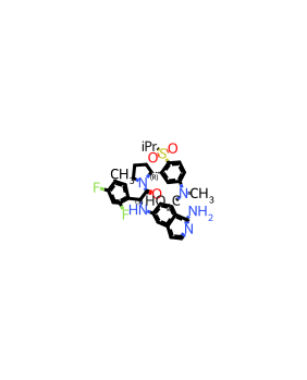 Cc1cc([C@H](Nc2ccc3c(N)nccc3c2)C(=O)N2CCC[C@@H]2c2cc(N(C)C(=O)O)ccc2S(=O)(=O)C(C)C)c(F)cc1F